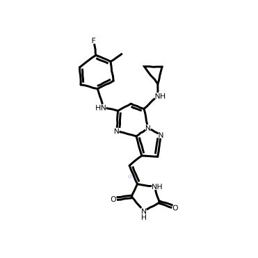 Cc1cc(Nc2cc(NC3CC3)n3ncc(/C=C4\NC(=O)NC4=O)c3n2)ccc1F